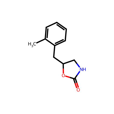 Cc1ccccc1CC1CNC(=O)O1